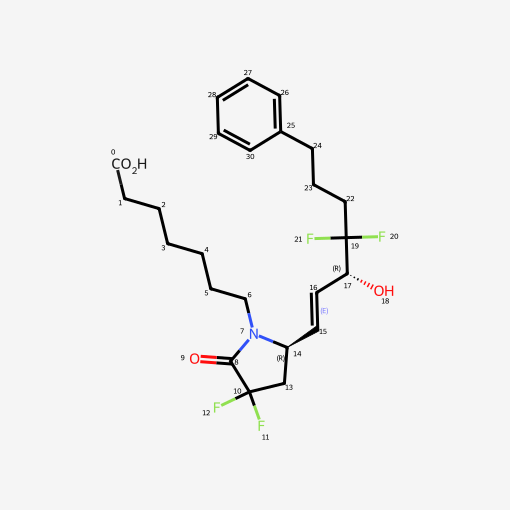 O=C(O)CCCCCCN1C(=O)C(F)(F)C[C@@H]1/C=C/[C@@H](O)C(F)(F)CCCc1ccccc1